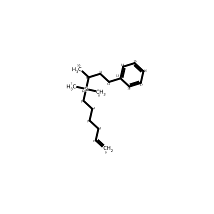 C=CCCCC[Si](C)(C)C(C)CCc1ccccc1